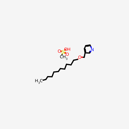 CCCCCCCCCCCCOCc1cccnc1.CS(=O)(=O)O